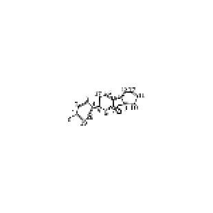 Cc1ccc(C2C=c3sc4ccccc4c3=CC2)cc1